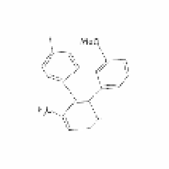 COc1cccc(C2=C(c3ccc(C)cc3)C(C(F)(F)F)=CC[CH]2)c1